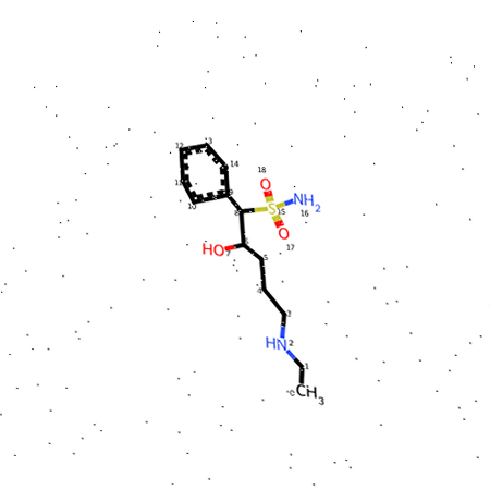 CCNCCCC(O)C(c1ccccc1)S(N)(=O)=O